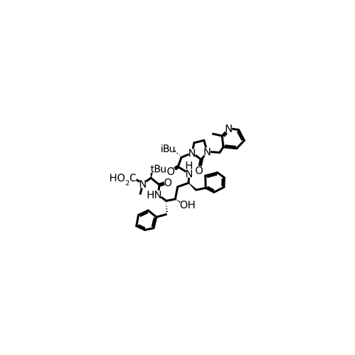 CCC(C)[C@@H](C(=O)N[C@@H](Cc1ccccc1)C[C@H](O)[C@H](Cc1ccccc1)NC(=O)[C@@H](N(C)C(=O)O)C(C)(C)C)N1CCN(Cc2cccnc2C)C1=O